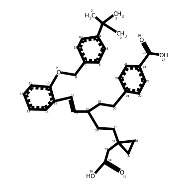 CC(C)(C)c1ccc(COc2ccccc2/C=C/C(CCc2ccc(C(=O)O)cc2)CCC2(CC(=O)O)CC2)cc1